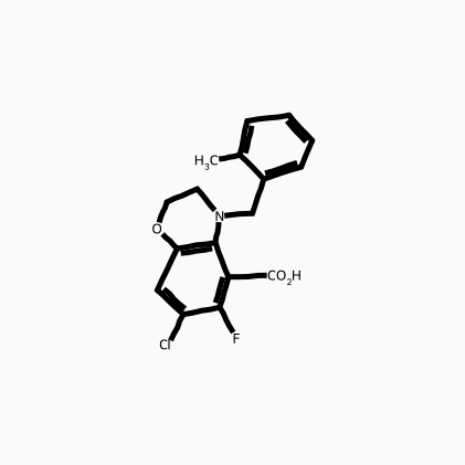 Cc1ccccc1CN1CCOc2cc(Cl)c(F)c(C(=O)O)c21